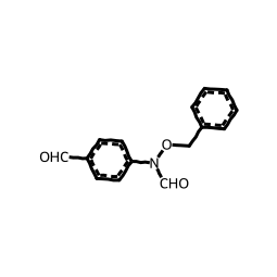 O=Cc1ccc(N(C=O)OCc2ccccc2)cc1